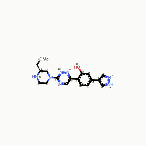 COC[C@H]1CN(c2ncc(-c3ccc(-c4cn[nH]c4)cc3O)nn2)CCN1